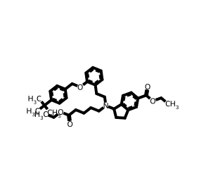 CCOC(=O)CCCCN(CCc1ccccc1OCc1ccc(C(C)(C)C)cc1)C1CCc2cc(C(=O)OCC)ccc21